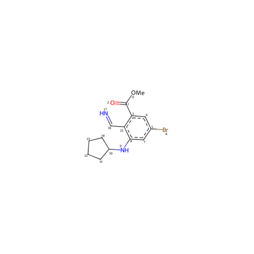 COC(=O)c1cc(Br)cc(NC2CCCC2)c1C=N